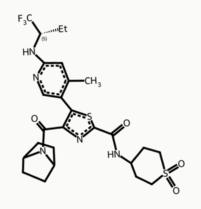 CC[C@H](Nc1cc(C)c(-c2sc(C(=O)NC3CCS(=O)(=O)CC3)nc2C(=O)N2C3CCC2CC3)cn1)C(F)(F)F